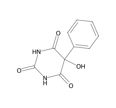 O=C1NC(=O)C(O)(c2ccccc2)C(=O)N1